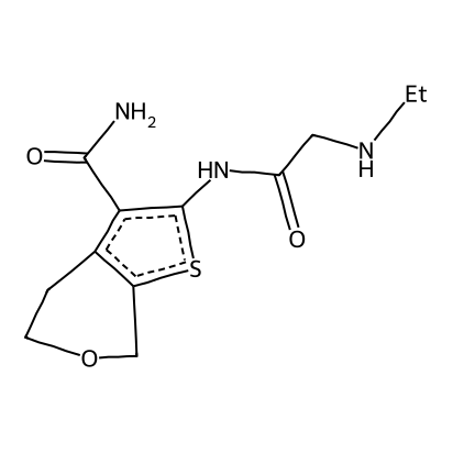 CCNCC(=O)Nc1sc2c(c1C(N)=O)CCOC2